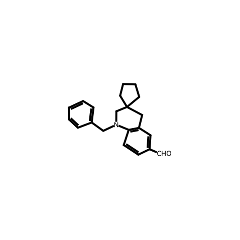 O=Cc1ccc2c(c1)CC1(CCCC1)CN2Cc1ccccc1